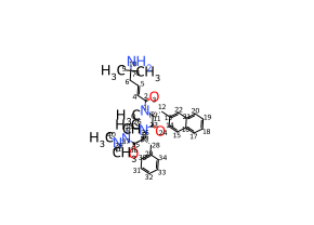 CN(C(=O)C=CCC(C)(C)N)[C@H](Cc1ccc2ccccc2c1)C(=O)N(C)[C@H](Cc1ccccc1)C(=O)N(C)N(C)C